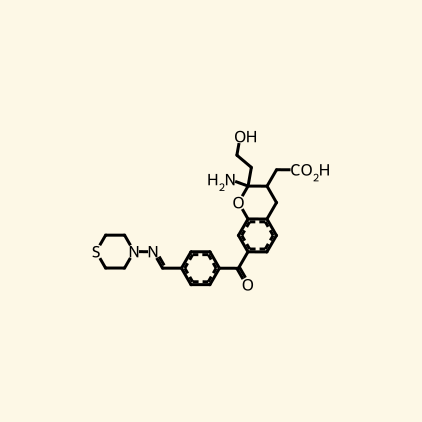 NC1(CCO)Oc2cc(C(=O)c3ccc(C=NN4CCSCC4)cc3)ccc2CC1CC(=O)O